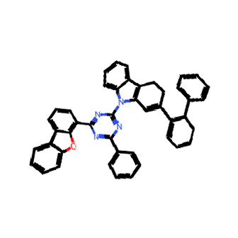 C1=CCC(c2ccccc2)C(C2=Cc3c(c4ccccc4n3-c3nc(-c4ccccc4)nc(-c4cccc5c4oc4ccccc45)n3)CC2)=C1